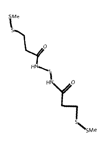 CSSCCC(=O)NSNC(=O)CCSSC